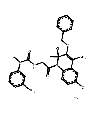 CN(C(=O)NCC(=O)N1c2ccc(Cl)cc2C(N)=C(OCc2ccccc2)C1(C)Cl)c1cccc([N+](=O)[O-])c1.Cl